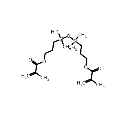 C=C(C)C(=O)OCCC[Si](C)(C)O[Si](C)(C)CCCOC(=O)C(=C)C